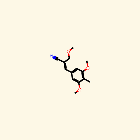 COCC(C#N)=Cc1cc(OC)c(C)c(OC)c1